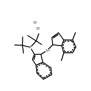 Cc1ccc(C)c2c1C=C[CH]2[Ti+2][CH]1C(P(C(C)(C)C)C(C)(C)C)=Cc2ccccc21.[Cl-].[Cl-]